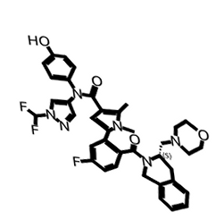 Cc1c(C(=O)N(c2ccc(O)cc2)c2cnn(C(F)F)c2)cc(-c2cc(F)ccc2C(=O)N2Cc3ccccc3C[C@H]2CN2CCOCC2)n1C